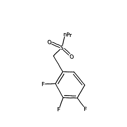 CCCS(=O)(=O)Cc1ccc(F)c(F)c1F